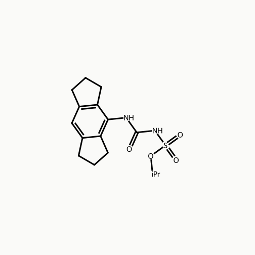 CC(C)OS(=O)(=O)NC(=O)Nc1c2c(cc3c1CCC3)CCC2